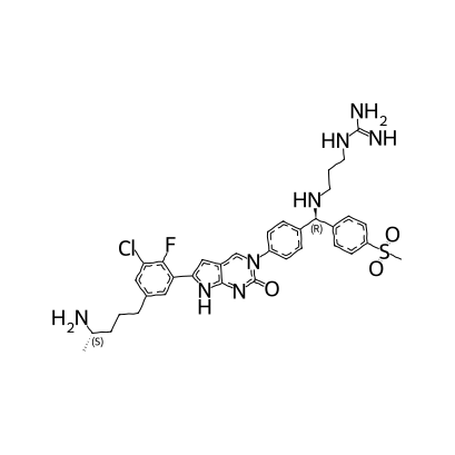 C[C@H](N)CCCc1cc(Cl)c(F)c(-c2cc3cn(-c4ccc([C@@H](NCCCNC(=N)N)c5ccc(S(C)(=O)=O)cc5)cc4)c(=O)nc3[nH]2)c1